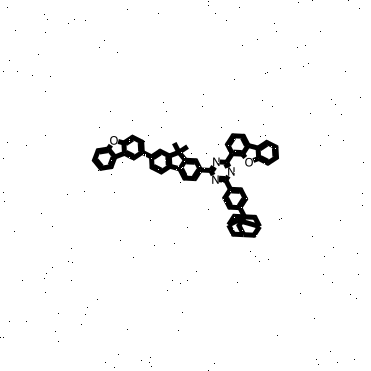 CC1(C)c2cc(-c3ccc4oc5ccccc5c4c3)ccc2-c2ccc(-c3nc(-c4ccc(C56CC7CC(CC(C7)C5)C6)cc4)nc(-c4cccc5c4oc4ccccc45)n3)cc21